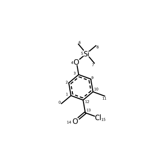 Cc1cc(O[Si](C)(C)C)cc(C)c1C(=O)Cl